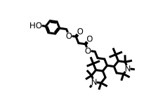 CN1C(C)(C)CC(C(CCCOC(=O)CC(=O)OCc2ccc(O)cc2)C2CC(C)(C)N(C)C(C)(C)C2C(C)(C)C)C(C(C)(C)C)C1(C)C